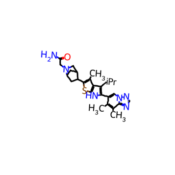 Cc1c(-c2[nH]c3sc(C4CC5CC4CN5CC(N)=O)c(C)c3c2C(C)C)cn2ncnc2c1C